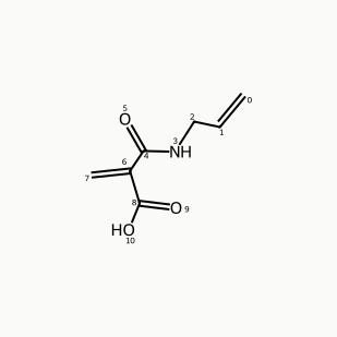 C=CCNC(=O)C(=C)C(=O)O